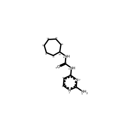 Nc1nccc(NC(=O)NC2CCCCCC2)n1